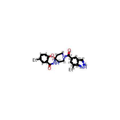 CCc1ccc2c(c1)C(=O)NC1(CCN(C(=O)c3cc(CC)c4[nH]ncc4c3)CC1)O2